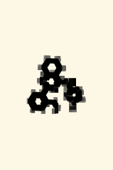 FCc1ccccc1-c1nc2c(c(Nc3nc[nH]n3)n1)CCCC2